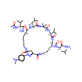 CC(=O)N[C@H](C(=O)N[C@H]1CCCCN2C(=O)C23CC(=NN3c2ccc(N(C)C)cc2)C(=O)NCCCC[C@@H](C(=O)N[C@@H](CC(C)C)C(N)=O)NC(=O)[C@H](C(C)C)NC(=O)C(C)(C)NC(=O)[C@H](CC(C)C)NC1=O)C(C)C